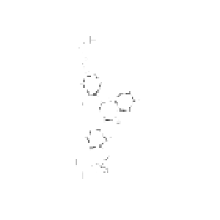 CCCOc1ccc2c(c1)CCC(C(=O)c1cccc(OC(C)(C)C)c1)=C2c1ccccc1